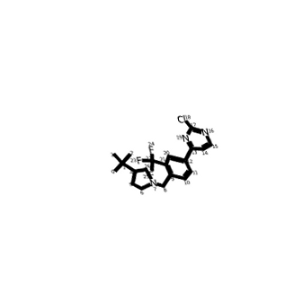 CC(C)(C)C1CCN(Cc2ccc(-c3ccnc(Cl)n3)cc2C(F)(F)F)C1